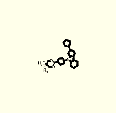 CC1(C)COB(c2ccc(-n3c4ccccc4c4ccc(-c5ccccc5)cc43)cc2)OC1